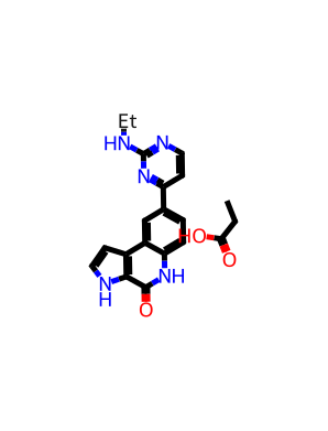 CCC(=O)O.CCNc1nccc(-c2ccc3[nH]c(=O)c4[nH]ccc4c3c2)n1